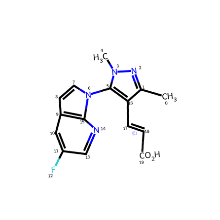 Cc1nn(C)c(-n2ccc3cc(F)cnc32)c1/C=C/C(=O)O